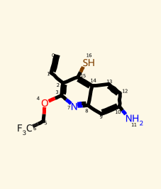 C=Cc1c(OCC(F)(F)F)nc2cc(N)ccc2c1S